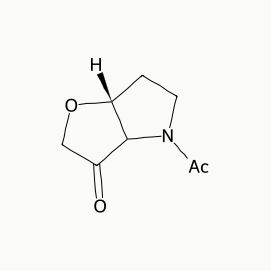 CC(=O)N1CC[C@H]2OCC(=O)C21